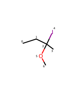 CCC(C)(I)OC